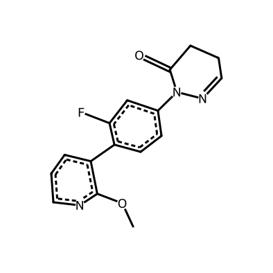 COc1ncccc1-c1ccc(N2N=CCCC2=O)cc1F